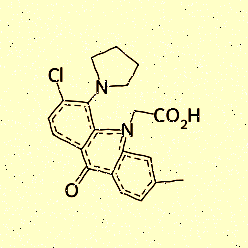 Cc1ccc2c(=O)c3ccc(Cl)c(N4CCCC4)c3n(CC(=O)O)c2c1